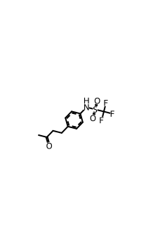 CC(=O)CCc1ccc(NS(=O)(=O)C(F)(F)F)cc1